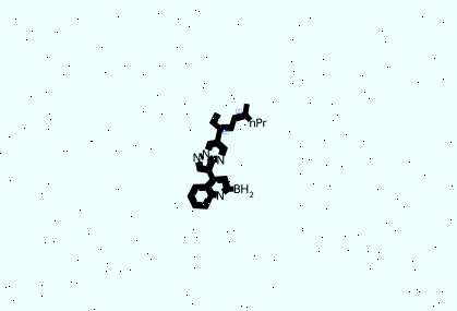 Bc1cc(-c2cnn3cc(/C(C=C)=C/C=C(/C)CCC)cnc23)c2ccccc2n1